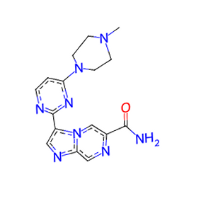 CN1CCN(c2ccnc(-c3cnc4cnc(C(N)=O)cn34)n2)CC1